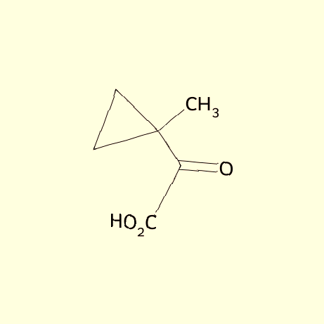 CC1(C(=O)C(=O)O)CC1